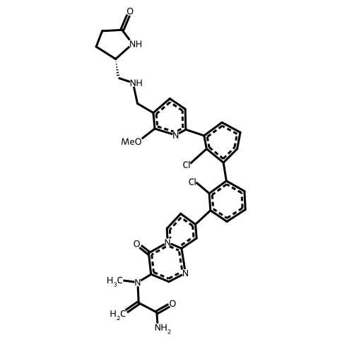 C=C(C(N)=O)N(C)c1cnc2cc(-c3cccc(-c4cccc(-c5ccc(CNC[C@@H]6CCC(=O)N6)c(OC)n5)c4Cl)c3Cl)ccn2c1=O